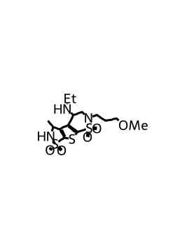 CCNC1CN(CCCOC)S(=O)(=O)c2sc3c(c21)C(C)NS3(=O)=O